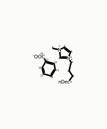 CCCCCCCCCCCCC[n+]1ccn(C)c1.O=C([O-])c1ccccc1